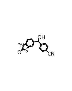 Cn1c(=O)sc2cc(C(O)c3ccc(C#N)cc3)ccc21